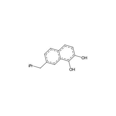 CC(C)Cc1ccc2ccc(O)c(O)c2c1